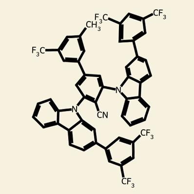 Cc1cc(-c2cc(-n3c4ccccc4c4ccc(-c5cc(C(F)(F)F)cc(C(F)(F)F)c5)cc43)c(C#N)c(-n3c4ccccc4c4ccc(-c5cc(C(F)(F)F)cc(C(F)(F)F)c5)cc43)c2)cc(C(F)(F)F)c1